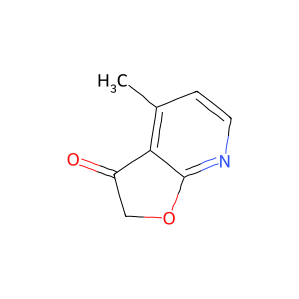 Cc1ccnc2c1C(=O)CO2